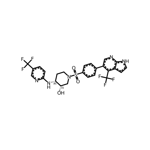 O=S(=O)(c1ccc(-c2cnc3[nH]ccc3c2C(F)(F)F)cc1)N1CC[C@@H](Nc2ccc(C(F)(F)F)cn2)[C@@H](O)C1